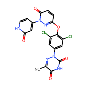 N#Cc1nn(-c2cc(Cl)c(Oc3ccc(=O)n(-c4cc[nH]c(=O)c4)n3)c(Cl)c2)c(=O)[nH]c1=O